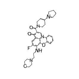 O=C(c1cn2c3c(c(NCCN4CCOCC4)c(F)cc3c1=O)Oc1ccccc1-2)N1CCC(N2CCCC2)CC1